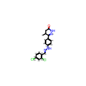 CC1CC(=O)NN=C1c1ccc(N/N=C/c2ccc(Cl)cc2Cl)cc1